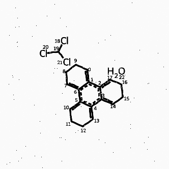 C1=c2c3c(c4c(c2=CCC1)=CCCC=4)=CCCC=3.ClC(Cl)Cl.O